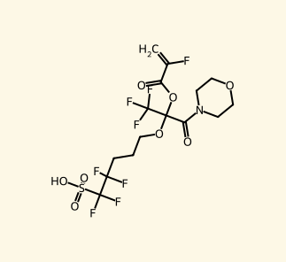 C=C(F)C(=O)OC(OCCCC(F)(F)C(F)(F)S(=O)(=O)O)(C(=O)N1CCOCC1)C(F)(F)F